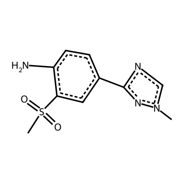 Cn1cnc(-c2ccc(N)c(S(C)(=O)=O)c2)n1